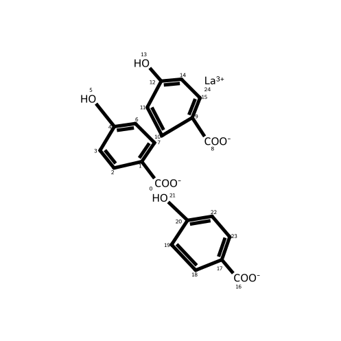 O=C([O-])c1ccc(O)cc1.O=C([O-])c1ccc(O)cc1.O=C([O-])c1ccc(O)cc1.[La+3]